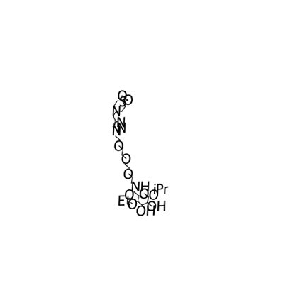 CCO[C@@H]1C(C(=O)NCCOCCOCCOCCn2cc(CN3CCS(=O)(=O)CC3)nn2)O[C@@H](OC(C)C)[C@@H](O)[C@H]1O